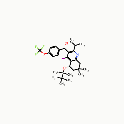 CC(C)c1nc2c(c(I)c1[C@@H](O)c1ccc(OC(F)(F)F)cc1)[C@@H](O[Si](C)(C)C(C)(C)C)CC(C)(C)C2